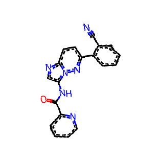 N#Cc1ccccc1-c1ccc2ncc(NC(=O)c3ccccn3)n2n1